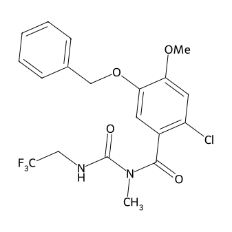 COc1cc(Cl)c(C(=O)N(C)C(=O)NCC(F)(F)F)cc1OCc1ccccc1